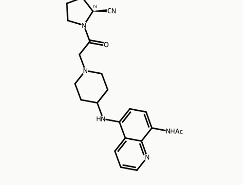 CC(=O)Nc1ccc(NC2CCN(CC(=O)N3CCC[C@H]3C#N)CC2)c2cccnc12